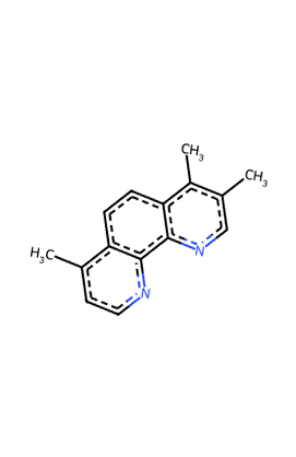 Cc1cnc2c(ccc3c(C)ccnc32)c1C